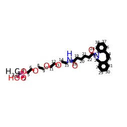 CP(=O)(O)OCCOCCOCCOCCNC(=O)CCCCC(=O)N1Cc2ccccc2C#Cc2ccccc21